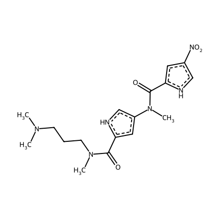 CN(C)CCCN(C)C(=O)c1cc(N(C)C(=O)c2cc([N+](=O)[O-])c[nH]2)c[nH]1